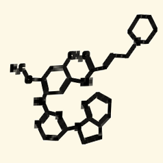 COc1cc(C)c(NC(=O)/C=C/CN2CCCCC2)cc1Nc1nccc(-n2ccc3cccnc32)n1